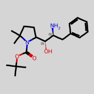 CC(C)(C)OC(=O)N1C([C@@H](O)[C@@H](N)Cc2ccccc2)CCC1(C)C